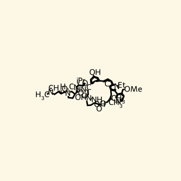 CCn1c(-c2cnccc2COC)c2c3cc(ccc31)-c1cc(O)cc(c1)C[C@H](NC(=O)[C@H](C(C)C)N(C)C(=O)[C@@]1(O)CCN(C(=O)/C=C/CN(C)C)C1)C(=O)N1CCC[C@@](O)(N1)C(=O)OCC(C)(C)C2